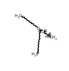 CCCCCCCCCCCCCCCCOC[C@H](COC(=O)CCCC(=O)NC)OCCCCCCCCCCCCCCCC